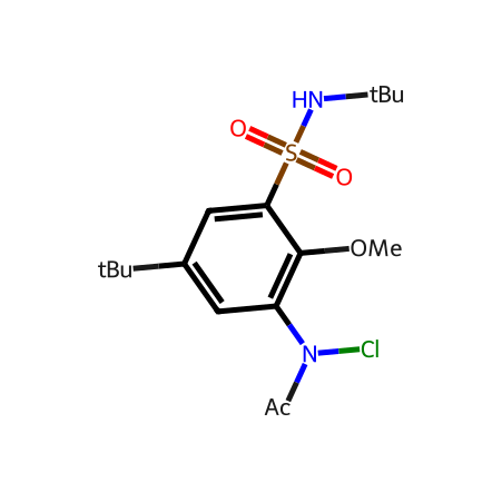 COc1c(N(Cl)C(C)=O)cc(C(C)(C)C)cc1S(=O)(=O)NC(C)(C)C